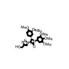 CCCCOc1cc([C@H]2[C@H](n3cc(CO)nn3)C(=O)N2c2cc(OC)c(OC)c(OC)c2)ccc1OC